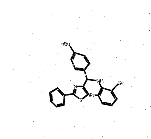 CCCCc1ccc(C(Nc2c(C(C)C)cccc2C(C)C)c2csc(-c3ccccc3)n2)cc1